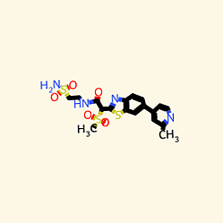 Cc1cc(-c2ccc3nc(C(C(=O)NCCS(N)(=O)=O)S(C)(=O)=O)sc3c2)ccn1